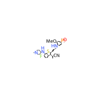 C=C(C#N)c1c(C#CCNc2ccc(P(C)(C)=O)cc2OC)sc2c(NC3CCN(C)CC3F)cccc12